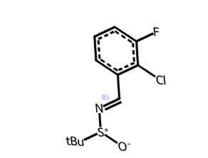 CC(C)(C)[S+]([O-])/N=C/c1cccc(F)c1Cl